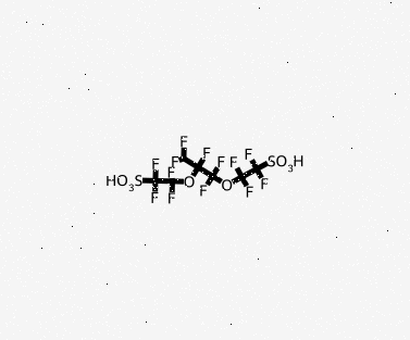 O=S(=O)(O)C(F)(F)C(F)(F)OC(F)(F)C(F)(OC(F)(F)C(F)(F)S(=O)(=O)O)C(F)F